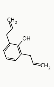 C=CCc1c[c]cc(CC=C)c1O